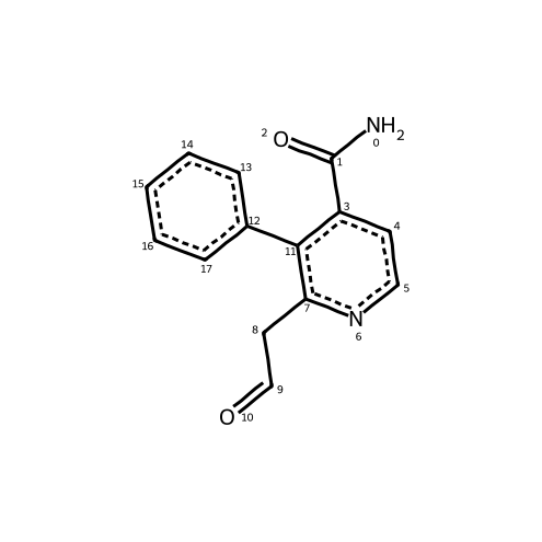 NC(=O)c1ccnc(CC=O)c1-c1ccccc1